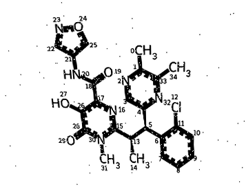 Cc1ncc([C@@H](c2ccccc2Cl)[C@@H](C)c2nc(C(=O)Nc3cnoc3)c(O)c(=O)n2C)nc1C